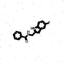 O=C(NCc1cc2cc(F)ccc2[nH]1)c1ccccc1